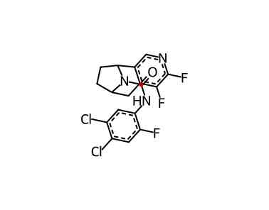 O=C(Nc1cc(Cl)c(Cl)cc1F)N1C2CCC1c1cnc(F)c(F)c1C2